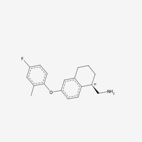 Cc1cc(F)ccc1Oc1ccc2c(c1)CCC[C@H]2CN